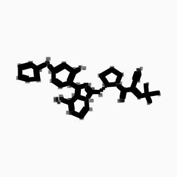 CC(C)(C)/C=C(\C#N)C(=O)N1CCC[C@H]1Cc1nc(-c2ccc(Oc3ccccc3)cc2F)c2c(N)nccn12